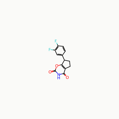 O=c1[nH]c(=O)c2c(o1)C(c1ccc(F)c(F)c1)CC2